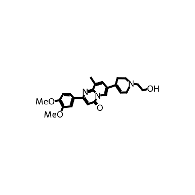 COc1ccc(-c2cc(=O)n3cc(C4=CCN(CCO)CC4)cc(C)c3n2)cc1OC